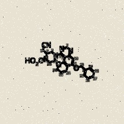 N#CCC1CN(c2ncnc3cc(OCc4ccccc4)c4c(c23)OCC=C4)CCN1C(=O)O